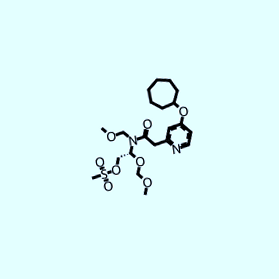 COCO[C@H](COS(C)(=O)=O)N(COC)C(=O)Cc1cc(OC2CCCCCC2)ccn1